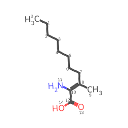 CCCCCCCCC(C)=C(N)C(=O)O